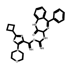 N=C(NC1N=C(c2ccccc2)c2ccccc2NC1=O)OC(=N)c1nc(C2CCC2)sc1N1CCOCC1